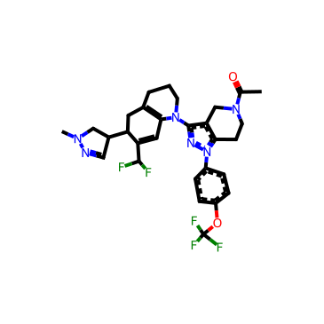 CC(=O)N1CCc2c(c(N3CCCC4=C3C=C(C(F)F)C(C3C=NN(C)C3)C4)nn2-c2ccc(OC(F)(F)F)cc2)C1